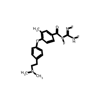 Cc1cc(C(=O)N(F)C(=NF)NF)ccc1Oc1ccc(CCN(C)C)cc1